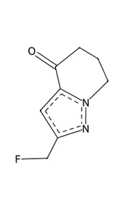 O=C1CCCn2nc(CF)cc21